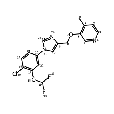 Cc1ccncc1OCc1cn(-c2ccc(Cl)c(OC(F)F)c2)nn1